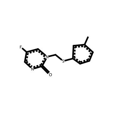 Cc1cccc(SCn2cc(F)cnc2=O)c1